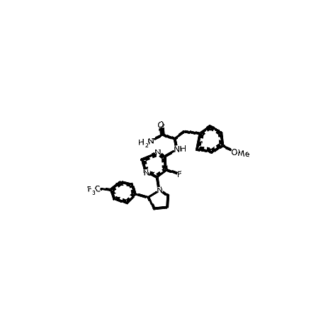 COc1ccc(CC(Nc2ncnc(N3CCCC3c3ccc(C(F)(F)F)cc3)c2F)C(N)=O)cc1